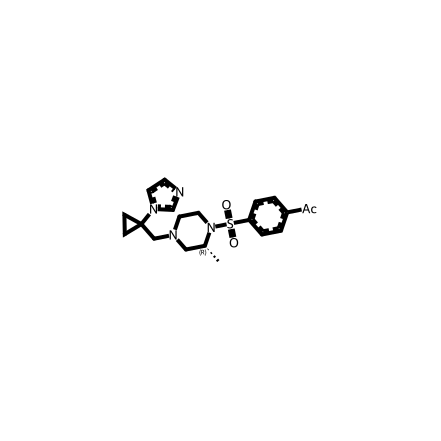 CC(=O)c1ccc(S(=O)(=O)N2CCN(CC3(n4ccnc4)CC3)C[C@H]2C)cc1